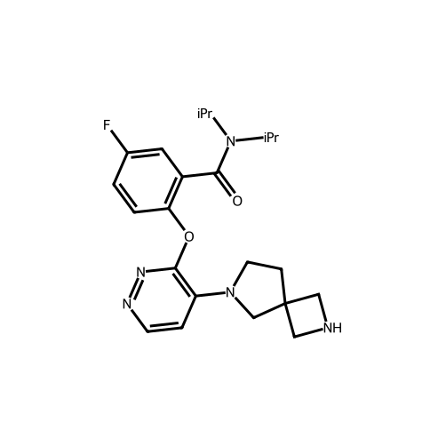 CC(C)N(C(=O)c1cc(F)ccc1Oc1nnccc1N1CCC2(CNC2)C1)C(C)C